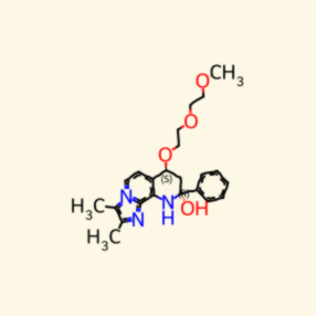 COCCOCCO[C@H]1C[C@@](O)(c2ccccc2)Nc2c1ccn1c(C)c(C)nc21